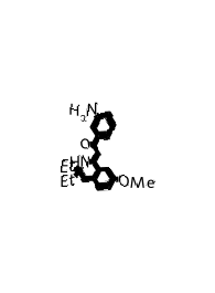 CCC1(CC)Cc2ccc(OC)cc2/C(=C/C(=O)c2cccc(N)c2)N1